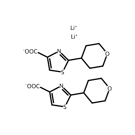 O=C([O-])c1csc(C2CCOCC2)n1.O=C([O-])c1csc(C2CCOCC2)n1.[Li+].[Li+]